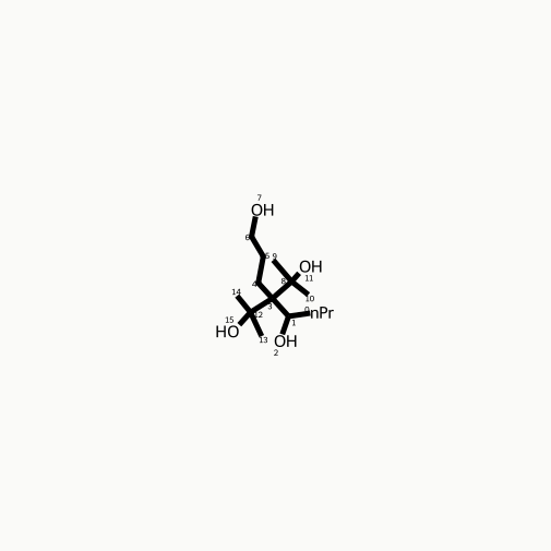 CCCC(O)C(CCCO)(C(C)(C)O)C(C)(C)O